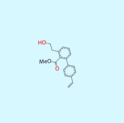 C=Cc1ccc(-c2cccc(CCO)c2C(=O)OC)cc1